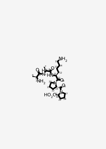 C[C@H](N)C(=O)N[C@@H](C)C(=O)N[C@@H](CCCCN)C(=O)N1CCC[C@H]1C(=O)N1CCC[C@H]1C(=O)O